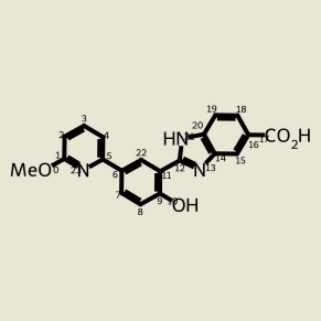 COc1cccc(-c2ccc(O)c(-c3nc4cc(C(=O)O)ccc4[nH]3)c2)n1